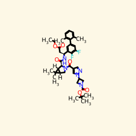 CCOC(=O)C[C@H](NC(=O)[C@@H]1[C@@H]2[C@H](CN1C(=O)c1cnn(C3CN(C(=O)OC(C)(C)C)C3)c1)C2(C)C)c1cc(-c2c(C)cccc2C)cc(F)c1F